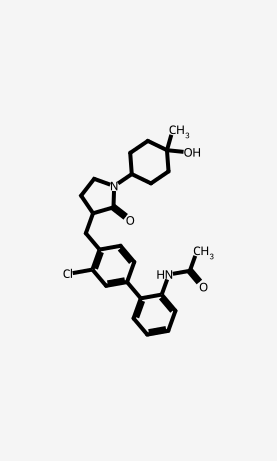 CC(=O)Nc1ccccc1-c1ccc(CC2CCN(C3CCC(C)(O)CC3)C2=O)c(Cl)c1